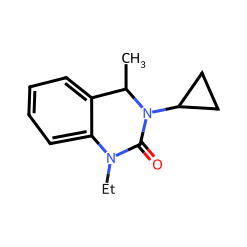 CCN1C(=O)N(C2CC2)C(C)c2ccccc21